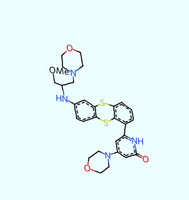 COCC(CN1CCOCC1)Nc1ccc2c(c1)Sc1cccc(-c3cc(N4CCOCC4)cc(=O)[nH]3)c1S2